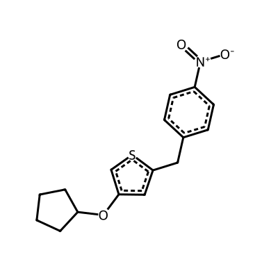 O=[N+]([O-])c1ccc(Cc2cc(OC3CCCC3)cs2)cc1